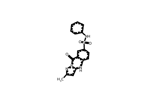 Cc1cc2[nH]c3ccc(S(=O)(=O)Nc4ccccc4)cc3c(=O)n2n1